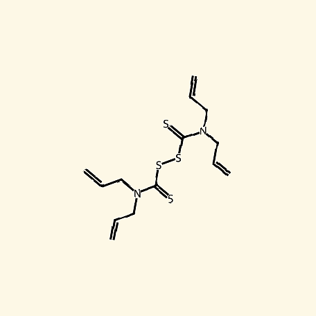 C=CCN(CC=C)C(=S)SSC(=S)N(CC=C)CC=C